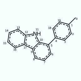 Cc1ccc(-c2cccc3c2[nH]c2ccccc23)cc1